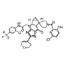 O=C(Cn1c2c(c(=O)n3nc(C4=CCOCC4)nc13)C1(CCN(C(=O)c3nc(Cl)ccc3O)CC1)[C@@H]1C[C@H]21)Nc1ccc(C(F)(F)F)cc1Cl